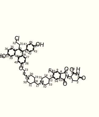 O=C1CCC(N2C(=O)c3cc(F)c(C4CCN(CC5CCN(CCOc6ccc(C(=C(CCCl)c7ccc(O)cc7)c7ccc(O)cc7)cc6)CC5)CC4)cc3C2=O)C(=O)N1